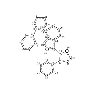 c1ccc(-c2ccccc2-c2oc(-c3oncc3-c3ccccc3)c3ccccc23)cc1